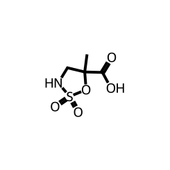 CC1(C(=O)O)CNS(=O)(=O)O1